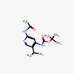 CC(=O)Nc1cc(NC(=O)OC(C)(C)C)c(C(C)C)cn1